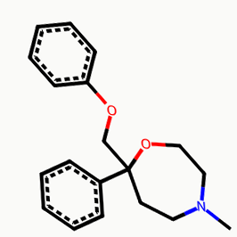 CN1CCOC(COc2ccccc2)(c2ccccc2)CC1